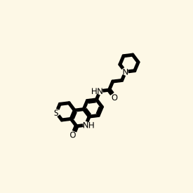 O=C(CCN1CCCCC1)Nc1ccc2[nH]c(=O)c3c(c2c1)CCSC3